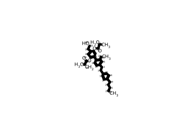 C=C(C)C(=O)Oc1cc(-c2ccc(CCc3ccc(CCCCC)cc3)cc2CC)c(OC(=O)C(=C)C)cc1CCO